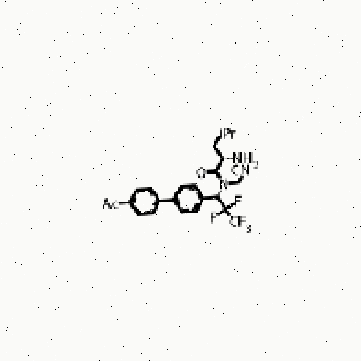 CC(=O)c1ccc(-c2ccc([C@H](N(CC#N)C(=O)[C@@H](N)CC(C)C)C(F)(F)C(F)(F)F)cc2)cc1